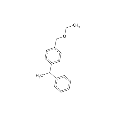 CCOCc1ccc(C(C)c2ccccc2)cc1